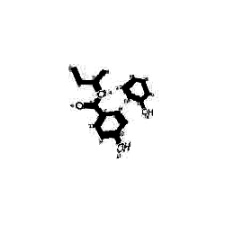 CCC(C)OC(=O)c1ccc(O)cc1.Oc1ccccc1